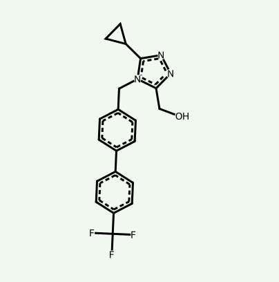 OCc1nnc(C2CC2)n1Cc1ccc(-c2ccc(C(F)(F)F)cc2)cc1